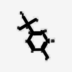 Cc1ccc(C(C)(C)I)nn1